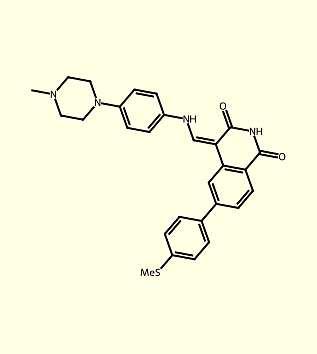 CSc1ccc(-c2ccc3c(c2)/C(=C/Nc2ccc(N4CCN(C)CC4)cc2)C(=O)NC3=O)cc1